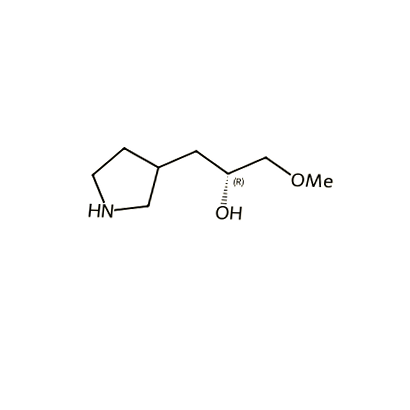 COC[C@H](O)CC1CCNC1